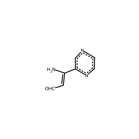 N/C(=C\[C]=O)c1cnccn1